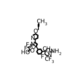 CC#CCOc1ccc(-c2cc(-c3ccc(F)c([C@]4(C)C[C@@H](C(F)(F)F)N=C(N)O4)c3)on2)nc1.O=C(O)C(F)(F)F